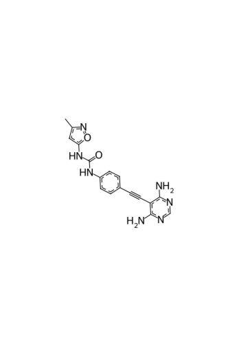 Cc1cc(NC(=O)Nc2ccc(C#Cc3c(N)ncnc3N)cc2)on1